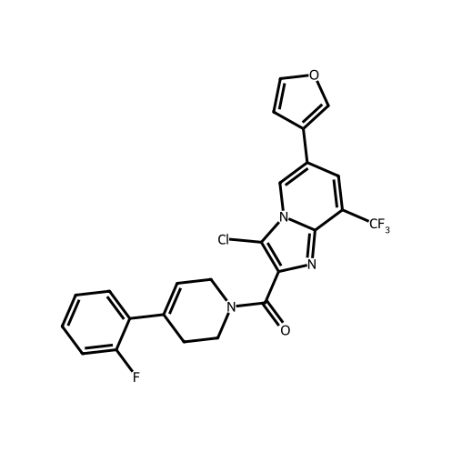 O=C(c1nc2c(C(F)(F)F)cc(-c3ccoc3)cn2c1Cl)N1CC=C(c2ccccc2F)CC1